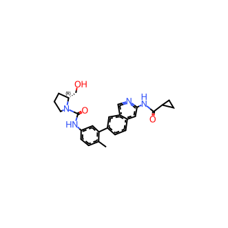 Cc1ccc(NC(=O)N2CCC[C@@H]2CO)cc1-c1ccc2cc(NC(=O)C3CC3)ncc2c1